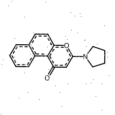 O=c1cc(N2CCCC2)oc2ccc3ccccc3c12